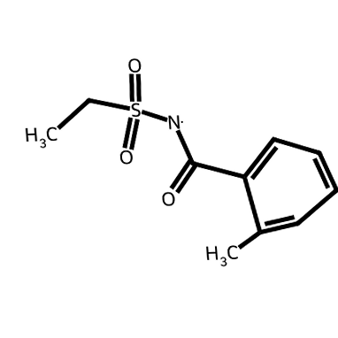 CCS(=O)(=O)[N]C(=O)c1ccccc1C